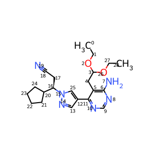 CCOC(Cc1c(N)ncnc1-c1cnn([C@H](CC#N)C2CCCC2)c1)OCC